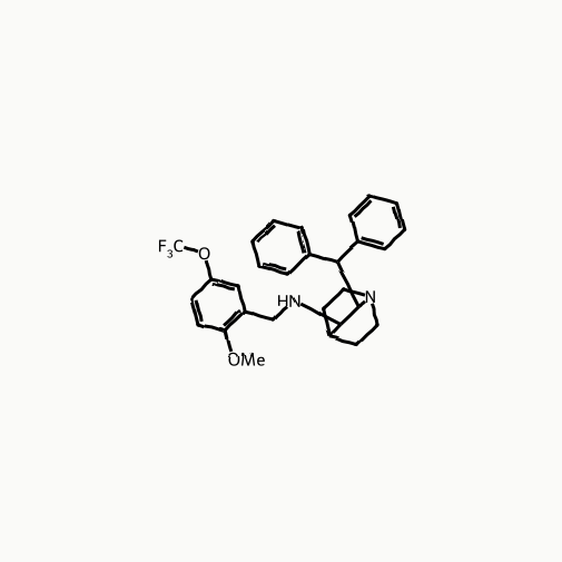 COc1ccc(OC(F)(F)F)cc1CNC1C2CCN(CC2)C1C(c1ccccc1)c1ccccc1